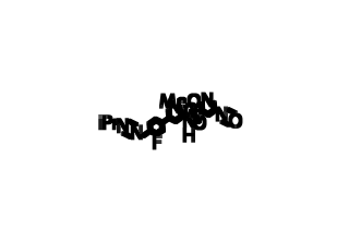 COc1ncc(N2CCOCC2)cc1S(=O)(=O)Nc1cncc(-c2ccc(CN3CCN(C(C)C)CC3)c(F)c2)c1